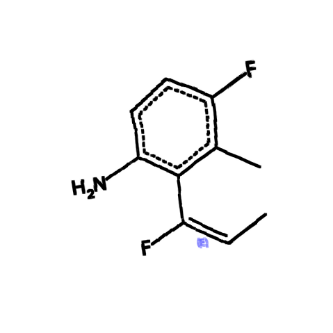 C/C=C(/F)c1c(N)ccc(F)c1C